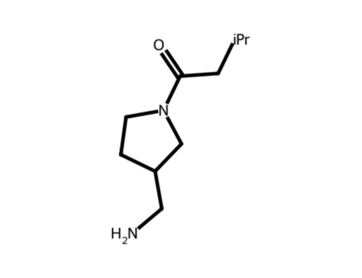 CC(C)CC(=O)N1CCC(CN)C1